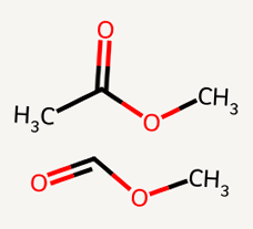 COC(C)=O.COC=O